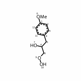 COc1ccc(CC(O)COO)cc1